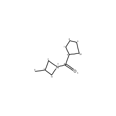 CC1CN(C(=O)C2CCCC2)C1